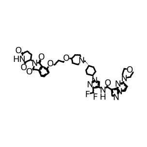 O=C1CCC(N2C(=O)c3cccc(OCCCOC4CCN(C[C@H]5CC[C@H](n6cc(NC(=O)c7cnn8ccc(N9CCOCC9)nc78)c(C(F)F)n6)CC5)CC4)c3C2=O)C(=O)N1